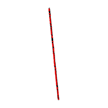 S=S=S=S=S=S=S=S=S=S=S=S=S=S=S=S=S=S=S=S=S=S=S=S=S=S=S=S=S=S=S=S=S=S=S=S=S=S=S=S=S=S=S=S=S=S=S=S=S=S=S=S=S=S=S=S=S=S=S=S=S=S=S=S=S=S=S=S=S=S=S=S=S=S=S=S=S=S=S=S=S=S=S=S=S=S=S=S=S=S=S=S=S=S=S=S=S=S=S=S=S=S=S=S=S=S=S=S=S=S=S=S=S=S=S=S=S=S=S=S=S=S=S=S=S=S=S=S=S=S=S=S=S